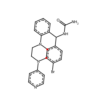 NC(=O)NC(c1ccc(Br)cc1)c1ccccc1N1CCN(c2ccncc2)CC1